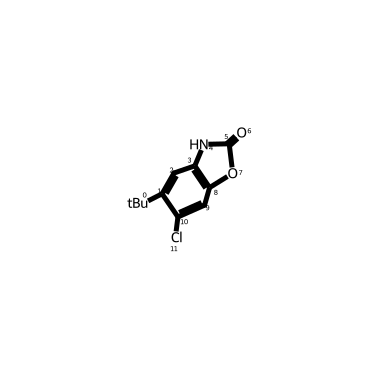 CC(C)(C)c1cc2[nH]c(=O)oc2cc1Cl